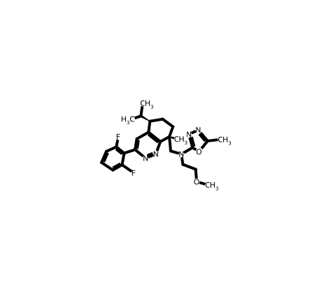 COCCN(C[C@@]1(C)CC[C@H](C(C)C)c2cc(-c3c(F)cccc3F)nnc21)c1nnc(C)o1